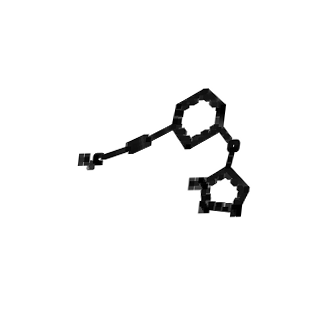 CC#Cc1cccc(Oc2cnn[nH]2)c1